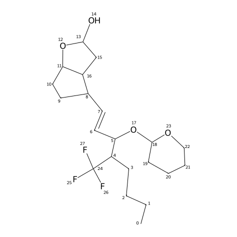 CCCCC(C(/C=C/C1CCC2OC(O)CC12)OC1CCCCO1)C(F)(F)F